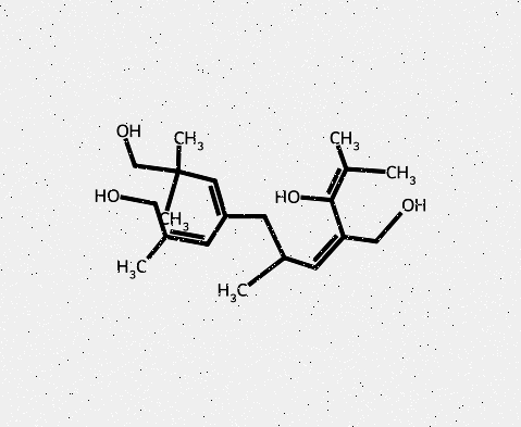 CC(C)=C(O)/C(=C\C(C)CC(/C=C(/C)CO)=C/C(C)(C)CO)CO